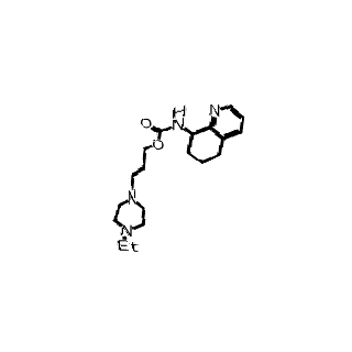 CCN1CCN(CCCOC(=O)NC2CCCc3cccnc32)CC1